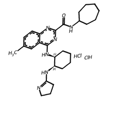 Cc1ccc2nc(C(=O)NC3CCCCCC3)nc(N[C@H]3CCCC[C@H]3NC3=NCCC3)c2c1.Cl.Cl